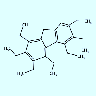 CCc1[c]c2c(c(CC)c1CC)-c1c(CC)c(CC)c(CC)c(CC)c1C2